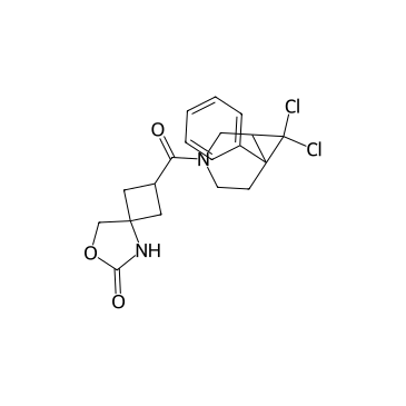 O=C1NC2(CO1)CC(C(=O)N1CCC3(c4ccccc4)C(C1)C3(Cl)Cl)C2